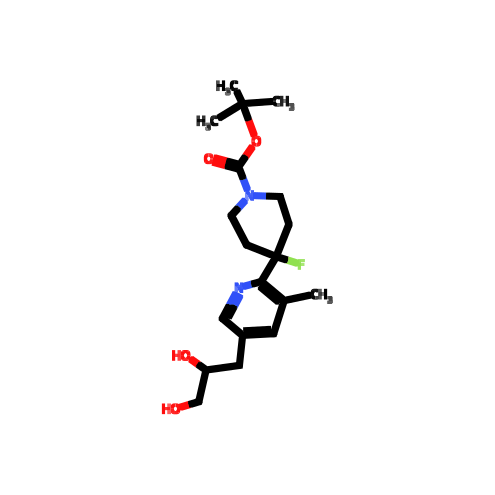 Cc1cc(CC(O)CO)cnc1C1(F)CCN(C(=O)OC(C)(C)C)CC1